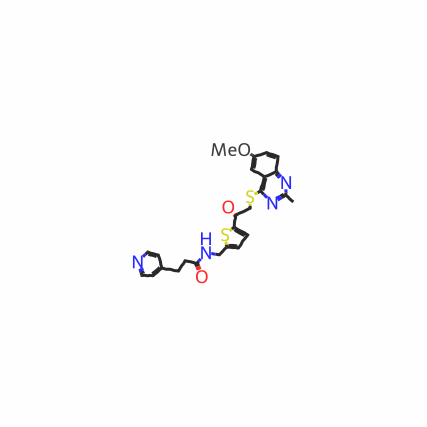 COc1ccc2nc(C)nc(SCC(=O)c3ccc(CNC(=O)CCc4ccncc4)s3)c2c1